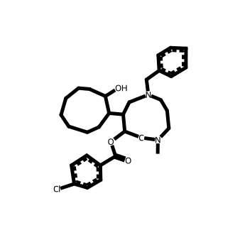 CN1CCCN(Cc2ccccc2)CC(C2CCCCCCCC2O)C(OC(=O)c2ccc(Cl)cc2)C1